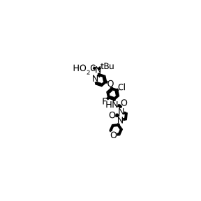 CC(C)(C)N(C(=O)O)c1cc(Oc2cc(F)c(NC(=O)N3CCN(C4CCOCC4)C3=O)cc2Cl)ccn1